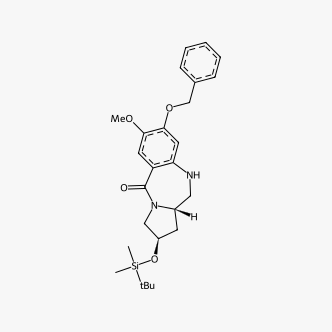 COc1cc2c(cc1OCc1ccccc1)NC[C@@H]1C[C@@H](O[Si](C)(C)C(C)(C)C)CN1C2=O